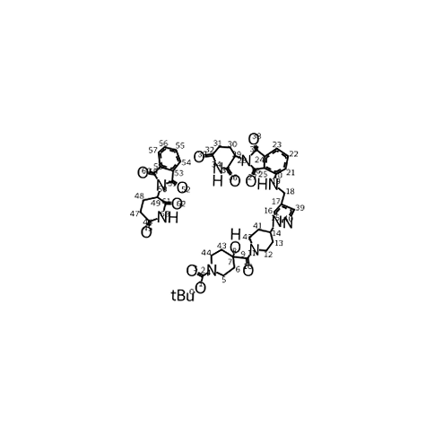 CC(C)(C)OC(=O)N1CCC(O)(C(=O)N2CCC(n3cc(CNc4cccc5c4C(=O)N(C4CCC(=O)NC4=O)C5=O)cn3)CC2)CC1.O=C1CCC(N2C(=O)c3ccccc3C2=O)C(=O)N1